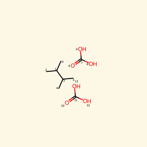 CC(C)C(C)C.O=C(O)O.O=C(O)O